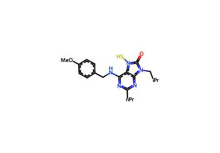 CCCc1nc(NCc2ccc(OC)cc2)c2c(n1)n(CC(C)C)c(=O)n2S